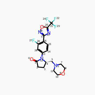 O=C1CC[C@@H](CN2CCOCC2)N1c1ccc(-c2noc(C(F)(F)F)n2)c(F)c1